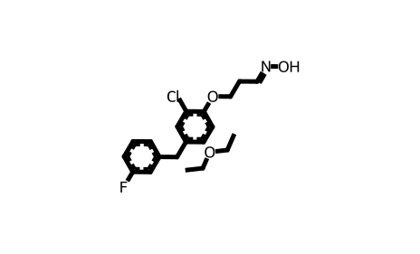 CCOCC.ON=CCCOc1ccc(Cc2cccc(F)c2)cc1Cl